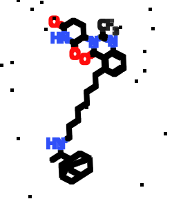 CC(NCCCCCCCCc1cccc2nc(C(F)(F)F)n(C3CCC(=O)NC3=O)c(=O)c12)C12CC3CC(CC(C3)C1)C2